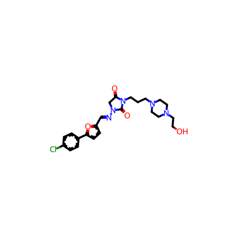 O=C1CN(/N=C/c2ccc(-c3ccc(Cl)cc3)o2)C(=O)N1CCCN1CCN(CCO)CC1